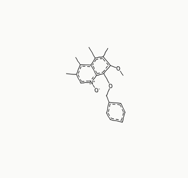 COc1c(C)c(C)c2c(C)c(C)c[n+]([O-])c2c1OCc1ccccc1